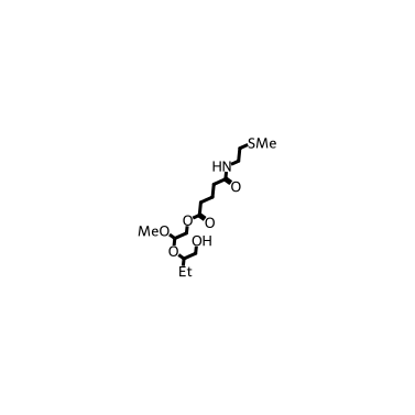 CCC(CO)OC(COC(=O)CCCC(=O)NCCSC)OC